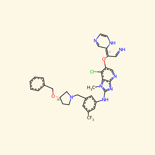 Cn1c(Nc2cc(CN3CC[C@H](OCc4ccccc4)C3)cc(C(F)(F)F)c2)nc2ncc(O/C(C=N)=C3\C=NC=CN3)c(Cl)c21